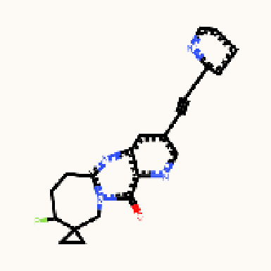 O=c1c2ncc(C#Cc3ccccn3)cc2nc2n1CC1(CC1)C(F)CC2